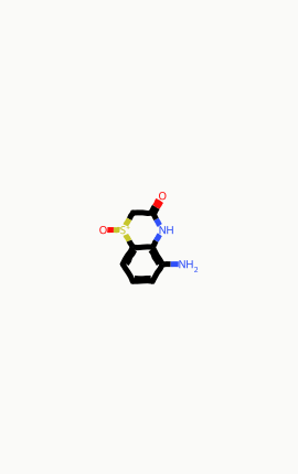 Nc1cccc2c1NC(=O)C[S+]2[O-]